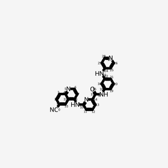 N#Cc1ccc2nccc(Nc3cccc(C(=O)Nc4cccc(Nc5ccncc5)c4)n3)c2c1